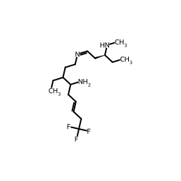 CCC(CC/N=C\C[C@H](CC)NC)C(N)C/C=C/CC(F)(F)F